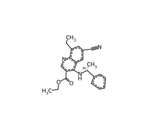 CCOC(=O)c1cnc2c(CC)cc(C#N)cc2c1N[C@H](C)c1ccccc1